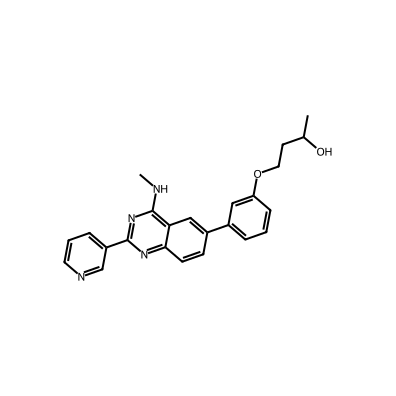 CNc1nc(-c2cccnc2)nc2ccc(-c3cccc(OCCC(C)O)c3)cc12